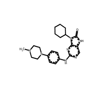 CN1CCN(c2ccc(Nc3ncc4[nH]c(=O)n(C5CCCCC5)c4n3)cc2)CC1